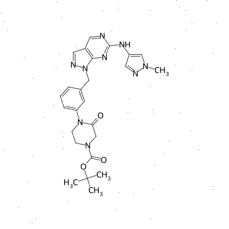 Cn1cc(Nc2ncc3cnn(Cc4cccc(N5CCN(C(=O)OC(C)(C)C)CC5=O)c4)c3n2)cn1